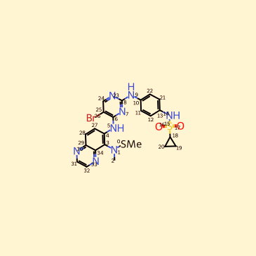 CSN(C)c1c(Nc2nc(Nc3ccc(NS(=O)(=O)C4CC4)cc3)ncc2Br)ccc2nccnc12